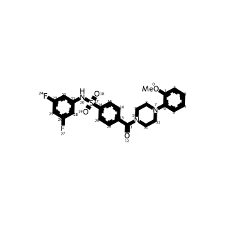 COc1ccccc1N1CCN(C(=O)c2ccc(S(=O)(=O)Nc3cc(F)cc(F)c3)cc2)CC1